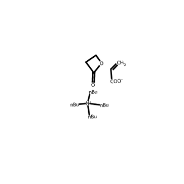 C=CC(=O)[O-].CCCC[N+](CCCC)(CCCC)CCCC.O=C1CCO1